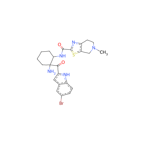 CN1CCc2nc(C(=O)NC3CCCCC3(N)C(=O)c3cc4cc(Br)ccc4[nH]3)sc2C1